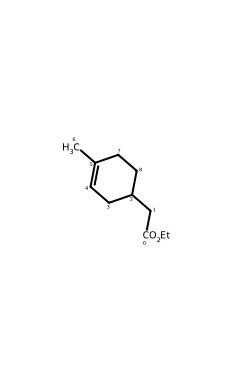 CCOC(=O)CC1CC=C(C)CC1